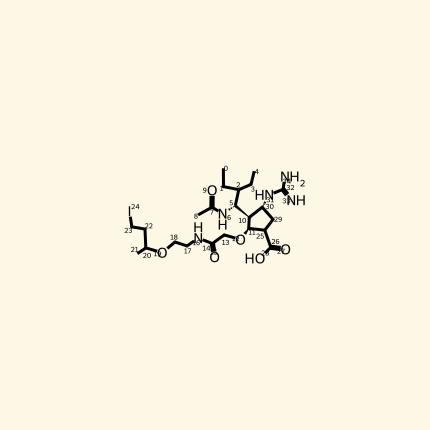 CCC(CC)[C@@H](NC(C)=O)[C@@H]1[C@H](OCC(=O)NCCOC(C)CCI)C(C(=O)O)C[C@H]1NC(=N)N